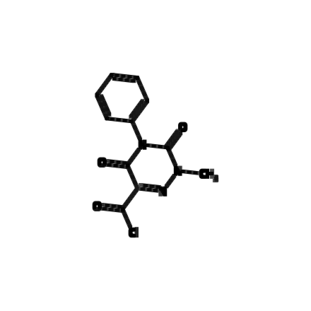 Cn1nc(C(=O)Cl)c(=O)n(-c2ccccc2)c1=O